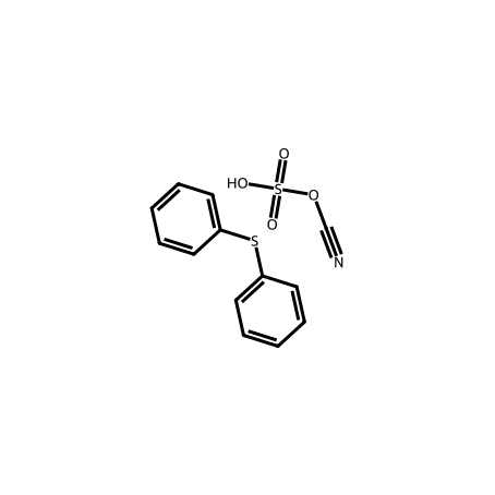 N#COS(=O)(=O)O.c1ccc(Sc2ccccc2)cc1